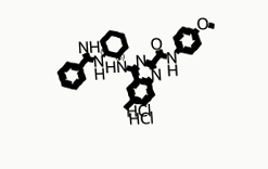 COc1ccc(NC(=O)c2nc(N[C@H]3CCCC[C@@H]3NC(=N)c3ccccc3)c3cc(C)ccc3n2)cc1.Cl.Cl